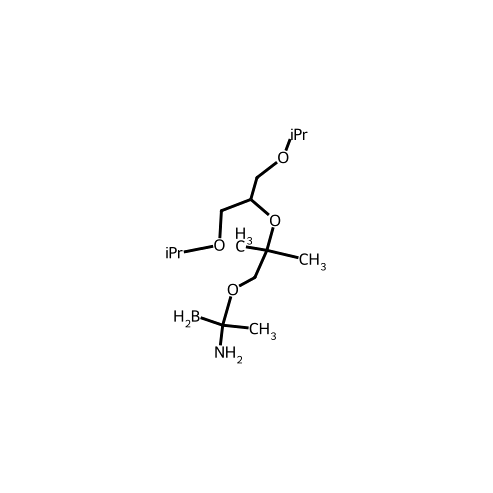 BC(C)(N)OCC(C)(C)OC(COC(C)C)COC(C)C